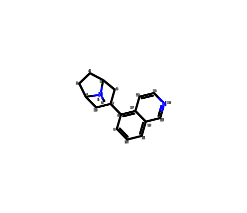 CN1C2CCC1CC(c1cccc3cnccc13)C2